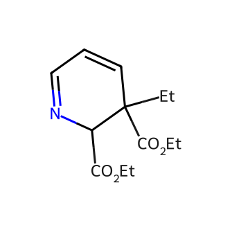 CCOC(=O)C1N=CC=CC1(CC)C(=O)OCC